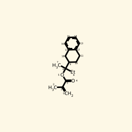 C=C(C)C(=O)OC(C)(CC)C1CCc2ccccc2C1